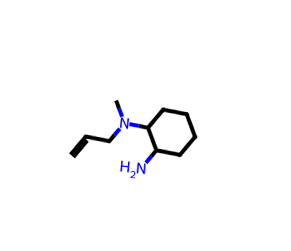 C=CCN(C)C1CCCCC1N